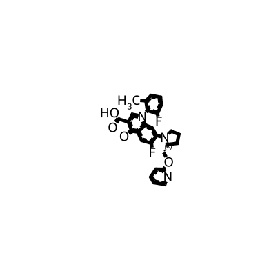 Cc1cccc(F)c1-n1cc(C(=O)O)c(=O)c2cc(F)c(N3CCC[C@@H]3COc3ccccn3)cc21